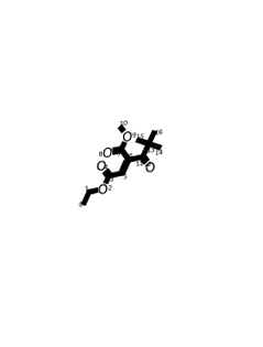 CCOC(=O)C=C(C(=O)OC)C(=O)C(C)(C)C